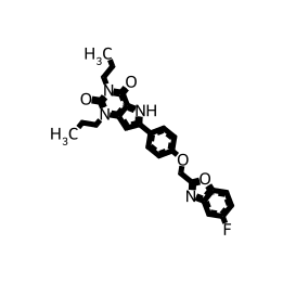 CCCn1c(=O)c2[nH]c(-c3ccc(OCc4nc5cc(F)ccc5o4)cc3)cc2n(CCC)c1=O